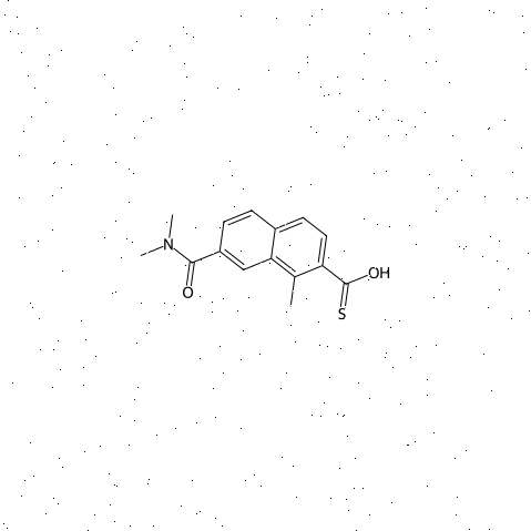 Cc1c(C(O)=S)ccc2ccc(C(=O)N(C)C)cc12